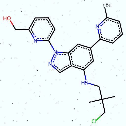 CCCCc1cccc(-c2cc(NCC(C)(C)CCl)c3cnn(-c4cccc(CO)n4)c3c2)n1